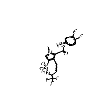 Cn1cc2c(c1C(=O)Nc1ccc(F)c(F)c1)C=CC(C(F)(F)F)NS2(=O)=O